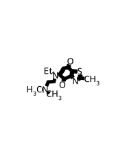 CCN(CCN(C)C)C1=CC(=O)c2sc(C)nc2C1=O